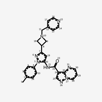 Cc1ccc(-n2nc(C3CN(Cc4ccncc4)C3)cc2NC(=O)c2cnn3cccnc23)cc1